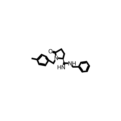 Cc1ccc(CN2C(=O)CC[C@H]2C(=N)NCc2ccccc2)cc1